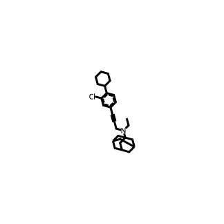 CCN(CC#Cc1ccc(C2CCCCC2)c(Cl)c1)C12CC3CC(CC(C3)C1)C2